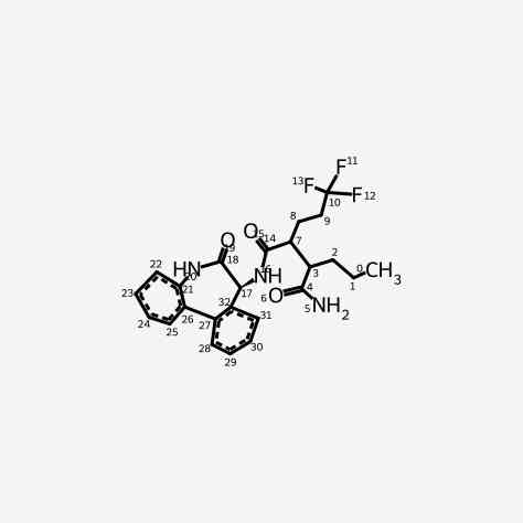 CCCC(C(N)=O)C(CCC(F)(F)F)C(=O)N[C@@H]1C(=O)Nc2ccccc2-c2ccccc21